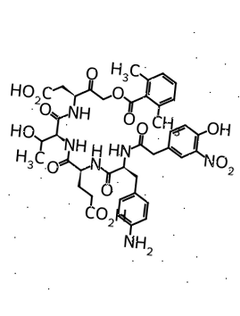 Cc1cccc(C)c1C(=O)OCC(=O)[C@H](CC(=O)O)NC(=O)[C@@H](NC(=O)[C@H](CCC(=O)O)NC(=O)[C@H](Cc1ccc(N)cc1)NC(=O)Cc1ccc(O)c([N+](=O)[O-])c1)C(C)O